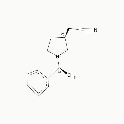 C[C@@H](c1ccccc1)N1CC[C@@H](CC#N)C1